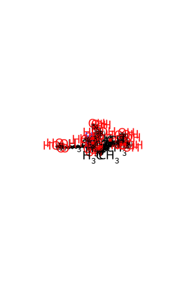 CC1O[C@@H](O[C@@H]2C(O[C@@H]3OC(C)[C@H](O)[C@H](O)C3O)[C@@H](NC(=O)CCCCCCCCCCCO[C@@H]3O[C@@H](CO)[C@@H](O)C3O)C(CO)O[C@H]2OC(=O)[C@]23CCC(C)(C)CC2C2=CCC4C5(C)CC[C@H](O[C@@H]6OC[C@@H](O)[C@H](O[C@@H]7OC[C@@H](O)[C@H](O)C7O)C6O[C@@H]6OC(CO)[C@H](O)[C@H](O)C6O)[C@](C)(C=O)[C@@H]5CC[C@]4(C)[C@]2(C)CC3O)[C@@H](O)C(O)[C@H]1O[C@@H]1OC[C@@H](O)C(O[C@@H]2OC[C@@](O)(CO)C2O)[C@H]1O